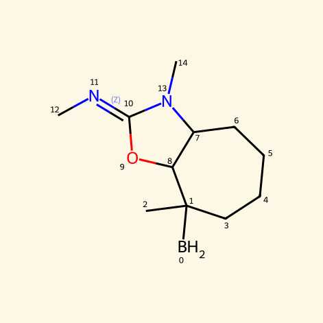 BC1(C)CCCCC2C1O/C(=N\C)N2C